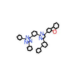 c1ccc(-c2cccc(-c3cc(-c4ccc5c(c4)oc4ccccc45)nc(-c4cccc(-c5nc(-c6ccccc6)nc(-c6ccccc6)n5)c4)n3)c2)cc1